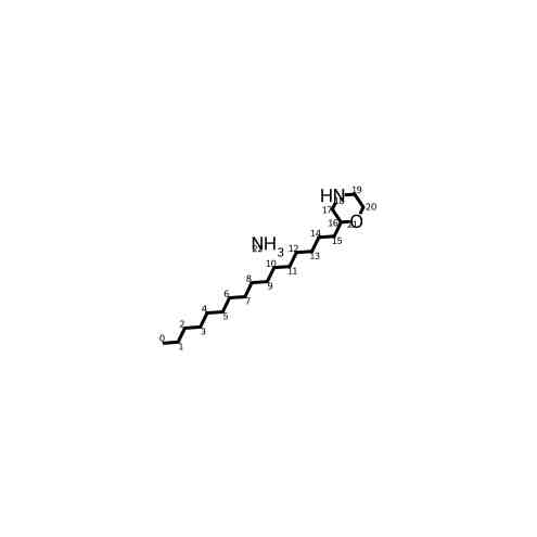 CCCCCCCCCCCCCCCCC1CNCCO1.N